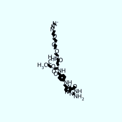 CC(C)COC(=O)[C@H](CCC(=O)NCCOCCOCCOCCN=[N+]=[N-])NC(=O)c1ccc(NCc2cnc3nc(N)[nH]c(=O)c3n2)cc1